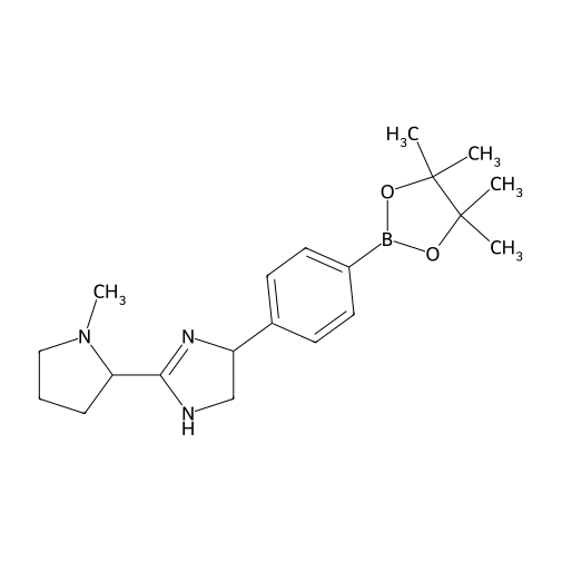 CN1CCCC1C1=NC(c2ccc(B3OC(C)(C)C(C)(C)O3)cc2)CN1